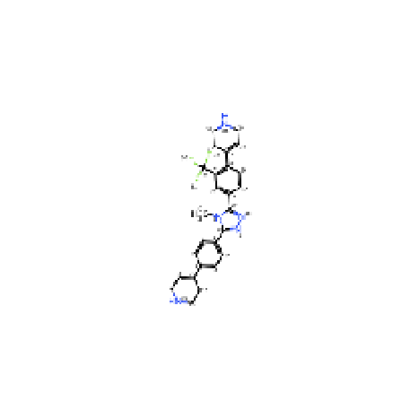 Cn1c(-c2ccc(C3=CCNCC3)cc2)nnc1-c1ccc(C2=CCNCC2)c(C(F)(F)F)c1